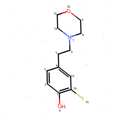 Oc1ccc(CCN2CCOCC2)cc1F